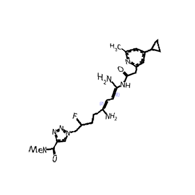 CNC(=O)c1cn(CC(F)CC/C(N)=C/C=C(\N)NC(=O)Cc2cc(C3CC3)cc(C)n2)nn1